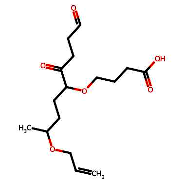 C=CCOC(C)CCC(OCCCC(=O)O)C(=O)CCC=O